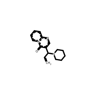 C=CC(c1cnc2ccccn2c1=O)N1CCCCC1